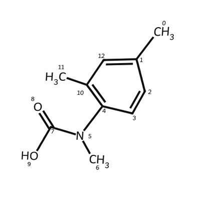 Cc1ccc(N(C)C(=O)O)c(C)c1